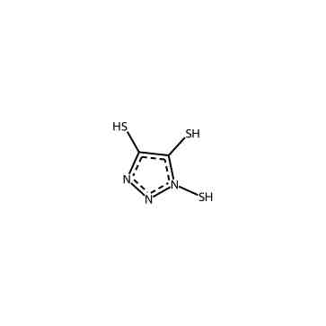 Sc1nnn(S)c1S